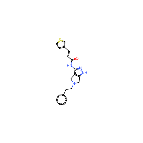 O=C(C=Cc1ccsc1)Nc1n[nH]c2c1CN(CCc1ccccc1)C2